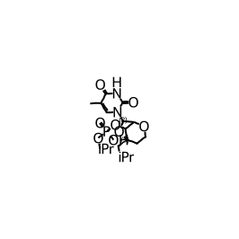 Cc1cn([C@@H]2O[C@@]3(CC(C)C)CCOC2C3OP(=O)(O)OC(C)C)c(=O)[nH]c1=O